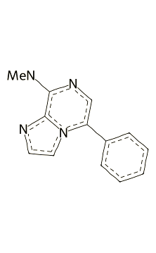 CNc1ncc(-c2ccccc2)n2ccnc12